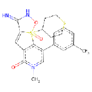 Cn1cc(-c2cccc(C(F)(F)F)c2)c2c(c1=O)C=C1C(=N)NOS12(=O)C1CCSCC1